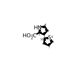 O=C(O)c1ccc[nH]1.c1ccsc1